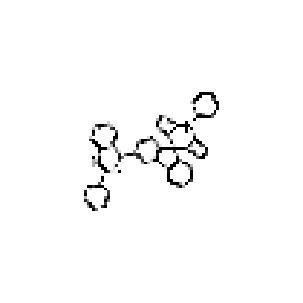 C1=CC2=C(CC1)C1(c3ccc(-c4nc(-c5ccccc5)nc5ccccc45)cc32)c2ccccc2N(c2ccccc2)c2ccccc21